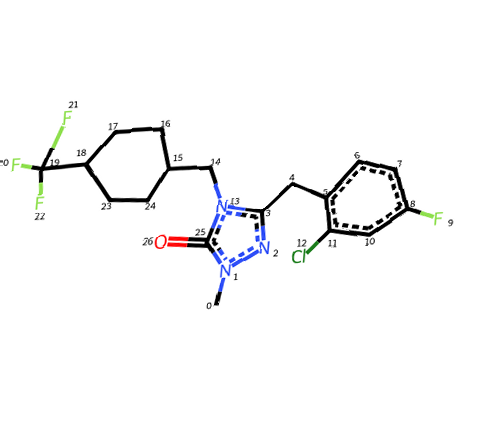 Cn1nc(Cc2ccc(F)cc2Cl)n(CC2CCC(C(F)(F)F)CC2)c1=O